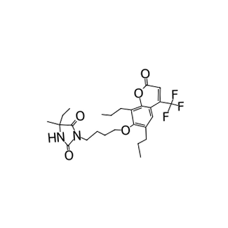 CCCc1cc2c(C(F)(F)F)cc(=O)oc2c(CCC)c1OCCCCN1C(=O)NC(C)(CC)C1=O